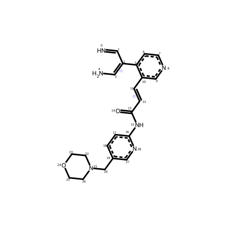 N=C/C(=C\N)c1ccncc1/C=C/C(=O)Nc1ccc(CN2CCOCC2)cn1